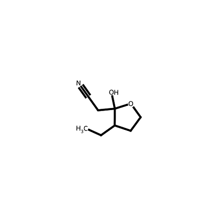 CCC1CCOC1(O)CC#N